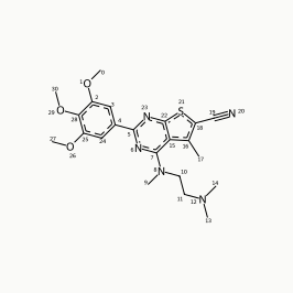 COc1cc(-c2nc(N(C)CCN(C)C)c3c(C)c(C#N)sc3n2)cc(OC)c1OC